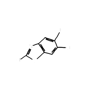 Cc1cc2oc(Cl)nc2cc1F